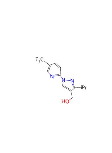 CC(C)c1nn(-c2ccc(C(F)(F)F)cn2)cc1CO